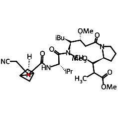 CC[C@H](C)[C@@H]([C@@H](CC(=O)N1CCC[C@H]1C(OC)C(C)C(=O)OC)OC)N(C)C(=O)[C@@H](NC(=O)[C@@H]1C2CC(C2)N1CC#N)C(C)C